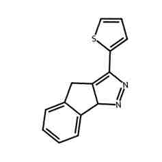 c1csc(C2=C3Cc4ccccc4C3N=N2)c1